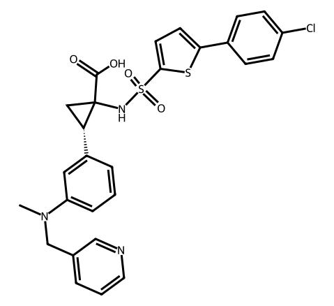 CN(Cc1cccnc1)c1cccc([C@@H]2CC2(NS(=O)(=O)c2ccc(-c3ccc(Cl)cc3)s2)C(=O)O)c1